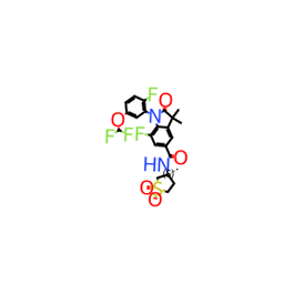 CC1(C)C(=O)N(c2cc(OC(F)F)ccc2F)c2c(F)cc(C(=O)N[C@@]3(C)CCS(=O)(=O)C3)cc21